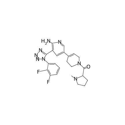 CN1CCCC1C(=O)N1CC=C(c2cnc(N)c(-c3nnnn3-c3cccc(F)c3F)c2)CC1